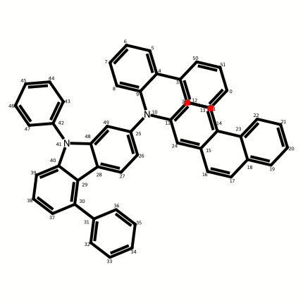 c1ccc(-c2ccccc2N(c2ccc3c(ccc4ccccc43)c2)c2ccc3c4c(-c5ccccc5)cccc4n(-c4ccccc4)c3c2)cc1